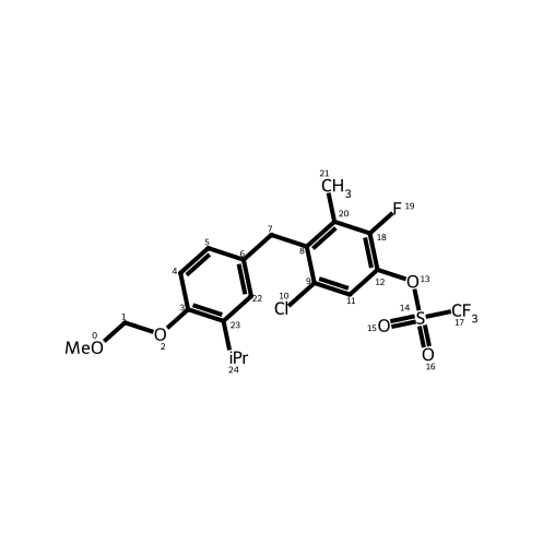 COCOc1ccc(Cc2c(Cl)cc(OS(=O)(=O)C(F)(F)F)c(F)c2C)cc1C(C)C